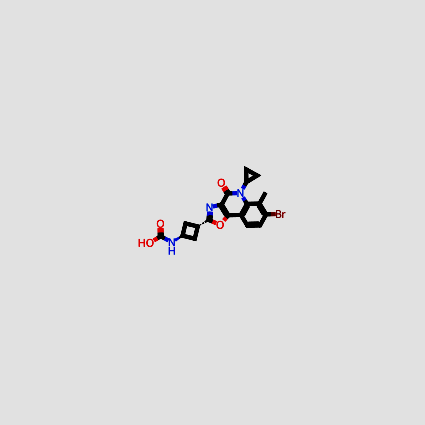 Cc1c(Br)ccc2c3oc([C@H]4C[C@H](NC(=O)O)C4)nc3c(=O)n(C3CC3)c12